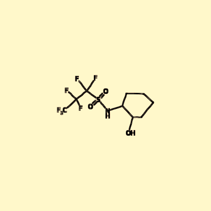 O=S(=O)(NC1CCCCC1O)C(F)(F)C(F)(F)C(F)(F)F